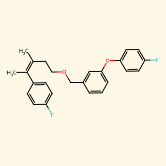 CC(CCOCc1cccc(Oc2ccc(F)cc2)c1)=C(C)c1ccc(F)cc1